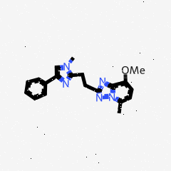 COc1ccc(C)n2nc(CCc3nc(-c4ccccc4)cn3C)nc12